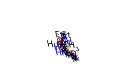 CCN(CC)CCNC(=O)c1c(C)[nH]c(/C=C2\C(=O)Nc3ccc(C(=O)N4CCCC4)cc32)c1C